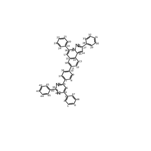 c1ccc(-c2cc(-c3ccc(-c4ccc5c(c4)cc(-c4ccccc4)n4nc(-c6ccccc6)cc54)cc3)nc(-c3ccccc3)n2)cc1